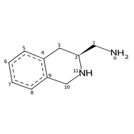 NC[C@@H]1Cc2ccccc2CN1